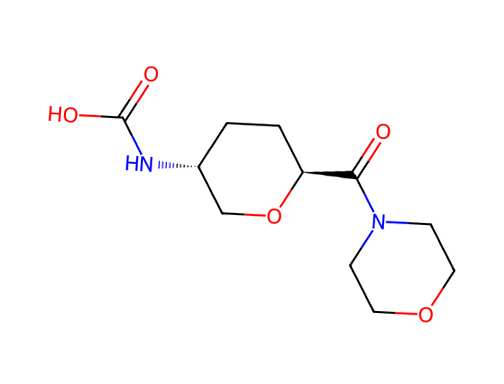 O=C(O)N[C@@H]1CC[C@@H](C(=O)N2CCOCC2)OC1